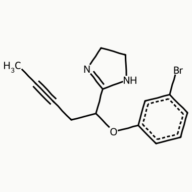 CC#CCC(Oc1cccc(Br)c1)C1=NCCN1